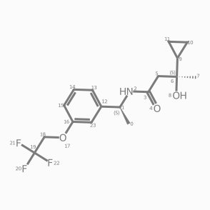 C[C@H](NC(=O)C[C@](C)(O)C1CC1)c1cccc(OCC(F)(F)F)c1